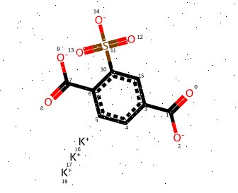 O=C([O-])c1ccc(C(=O)[O-])c(S(=O)(=O)[O-])c1.[K+].[K+].[K+]